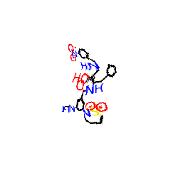 CCNc1cc(C(=O)NC(Cc2ccccc2)[C@H](O)CNCc2cccc([N+](=O)[O-])c2)cc(N2CCCCS2(=O)=O)c1